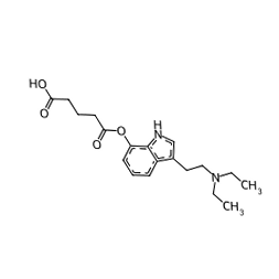 CCN(CC)CCc1c[nH]c2c(OC(=O)CCCC(=O)O)cccc12